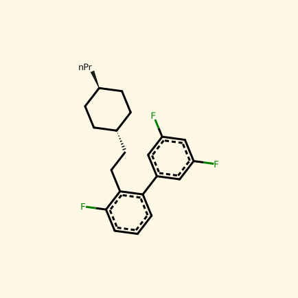 CCC[C@H]1CC[C@H](CCc2c(F)cccc2-c2cc(F)cc(F)c2)CC1